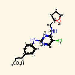 O=C(O)CCc1ccc(Nc2ncc(Cl)c(NC[C@H]3CCCO3)n2)cc1